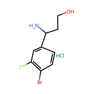 Cl.NC(CCO)c1ccc(Br)c(F)c1